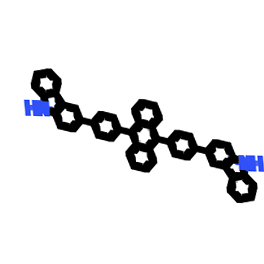 c1ccc2c(c1)[nH]c1ccc(-c3ccc(-c4c5ccccc5c(-c5ccc(-c6ccc7[nH]c8ccccc8c7c6)cc5)c5ccccc45)cc3)cc12